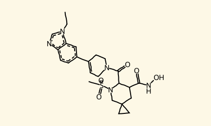 CCn1cnc2ccc(C3=CCN(C(=O)C4C(C(=O)NO)CC5(CC5)CN4S(C)(=O)=O)CC3)cc21